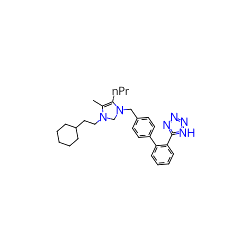 CCCC1=C(C)N(CCC2CCCCC2)CN1Cc1ccc(-c2ccccc2-c2nnn[nH]2)cc1